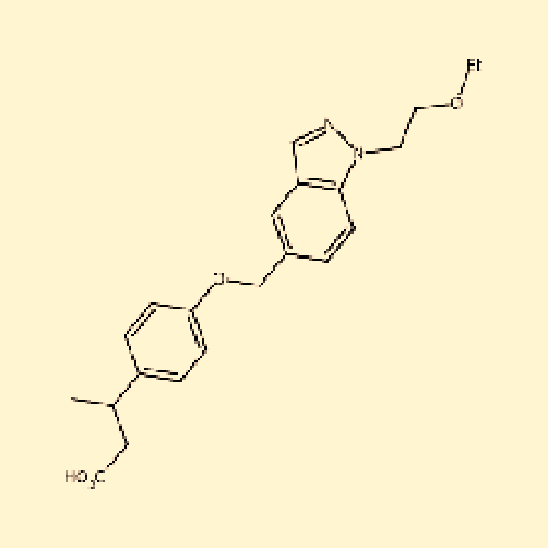 CCOCCn1ncc2cc(COc3ccc(C(C)CC(=O)O)cc3)ccc21